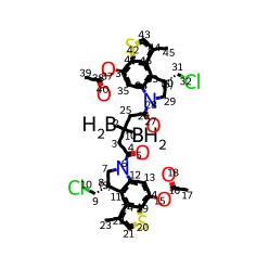 BC(B)(CC(=O)N1C[C@@H](CCl)c2c1cc(OC(C)=O)c1scc(C)c21)CC(=O)N1C[C@@H](CCl)c2c1cc(OC(C)=O)c1scc(C)c21